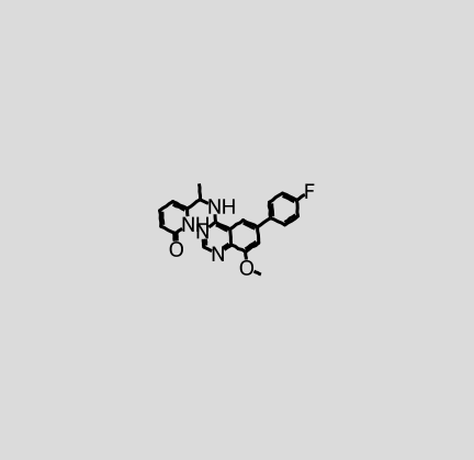 COc1cc(-c2ccc(F)cc2)cc2c(NC(C)c3cccc(=O)[nH]3)ncnc12